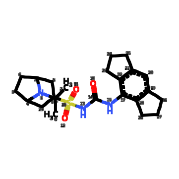 CC(C)N1C2CCC1CC(S(=O)(=O)NC(=O)Nc1c3c(cc4c1CCC4)CCC3)C2